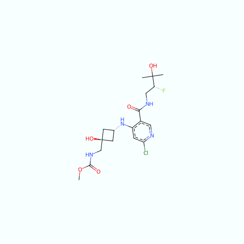 COC(=O)NC[C@]1(O)C[C@H](Nc2cc(Cl)ncc2C(=O)NC[C@@H](F)C(C)(C)O)C1